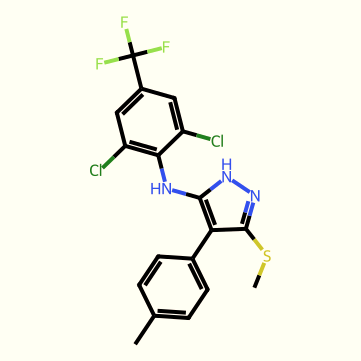 CSc1n[nH]c(Nc2c(Cl)cc(C(F)(F)F)cc2Cl)c1-c1ccc(C)cc1